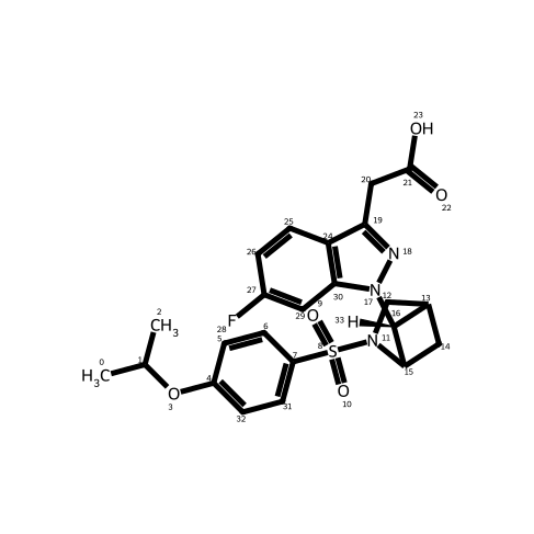 CC(C)Oc1ccc(S(=O)(=O)N2CC3CC2[C@@H]3n2nc(CC(=O)O)c3ccc(F)cc32)cc1